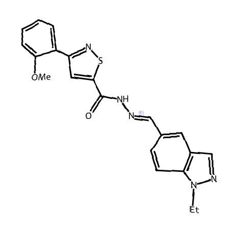 CCn1ncc2cc(/C=N/NC(=O)c3cc(-c4ccccc4OC)ns3)ccc21